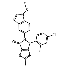 Cc1nc2c(s1)C(=O)N(c1ccc3c(c1)ncn3SF)C2c1ccc(Cl)cc1F